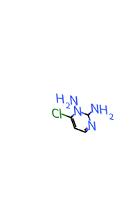 NC1N=CC=C(Cl)N1N